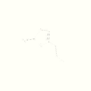 CCCc1c[nH]c(N)c1